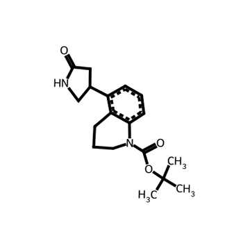 CC(C)(C)OC(=O)N1CCCc2c(C3CNC(=O)C3)cccc21